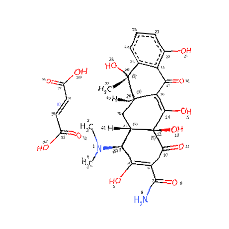 CN(C)[C@@H]1C(O)=C(C(N)=O)C(=O)[C@@]2(O)C(O)=C3C(=O)c4c(O)cccc4[C@@](C)(O)[C@H]3C[C@@H]12.O=C(O)/C=C/C(=O)O